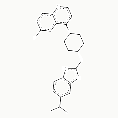 CC(C)c1ccc2[nH]c(C[C@H]3CC[C@H](c4ccnc5ccc(F)cc54)CC3)nc2c1